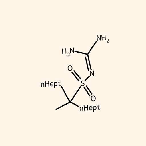 CCCCCCCC(C)(CCCCCCC)S(=O)(=O)N=C(N)N